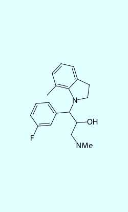 CNCC(O)C(c1cccc(F)c1)N1CCc2cccc(C)c21